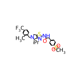 Cc1cc(C(F)(F)F)ccc1CN1Cc2sc(NC(=O)Cc3ccc(S(C)(=O)=O)cc3)nc2[C@H]1C(C)C